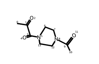 CC(=O)C(=O)N1CCN(C(C)=O)CC1